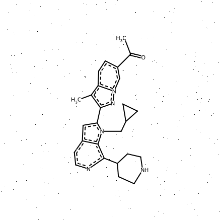 CC(=O)c1ccc2c(C)c(-c3cc4ccnc(C5CCNCC5)c4n3CC3CC3)nn2c1